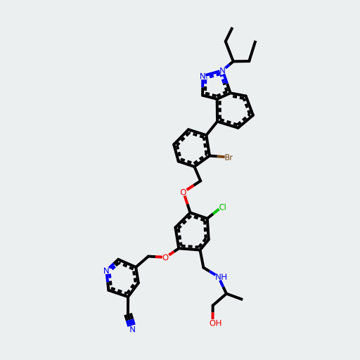 CCC(CC)n1ncc2c(-c3cccc(COc4cc(OCc5cncc(C#N)c5)c(CNC(C)CO)cc4Cl)c3Br)cccc21